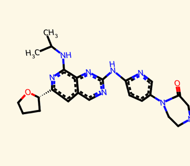 CC(C)Nc1nc([C@@H]2CCCO2)cc2cnc(Nc3ccc(N4CCNCC4=O)cn3)nc12